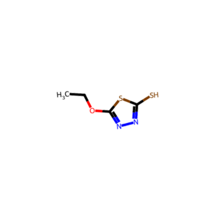 CCOc1nnc(S)s1